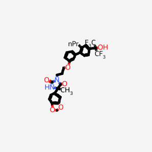 CCCc1cc(C(O)(C(F)(F)F)C(F)(F)F)ccc1-c1cccc(OCCCN2C(=O)NC(C)(c3ccc4c(c3)OCO4)C2=O)c1